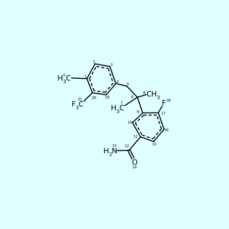 Cc1ccc(CC(C)(C)c2cc(C(N)=O)ccc2F)cc1C(F)(F)F